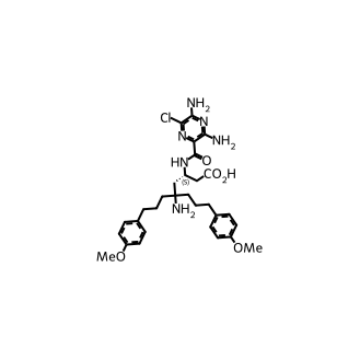 COc1ccc(CCCC(N)(CCCc2ccc(OC)cc2)C[C@@H](CC(=O)O)NC(=O)c2nc(Cl)c(N)nc2N)cc1